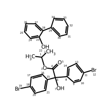 CC(C)OC(=O)C(O)(c1ccc(Br)cc1)c1ccc(Br)cc1.Oc1ccccc1-c1ccccc1